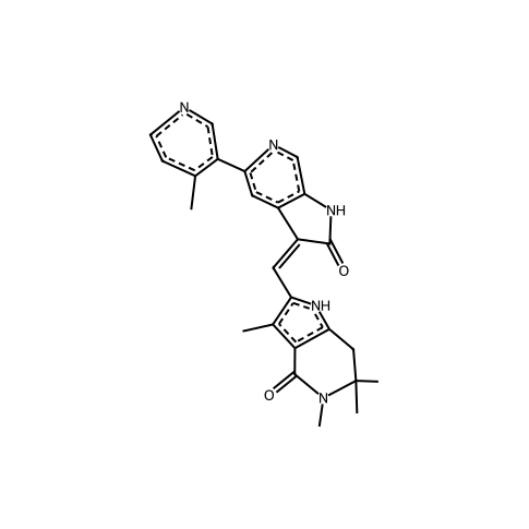 Cc1ccncc1-c1cc2c(cn1)NC(=O)/C2=C\c1[nH]c2c(c1C)C(=O)N(C)C(C)(C)C2